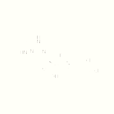 Cc1cc(Nc2ccc(F)c(C[C@@]3(C(=O)O)CCN(Cc4cccc(Cl)c4Cl)[C@H](C)C3)n2)n[nH]1